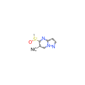 C[S+]([O-])c1nc2ccnn2cc1C#N